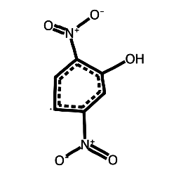 O=[N+]([O-])c1[c]cc([N+](=O)[O-])c(O)c1